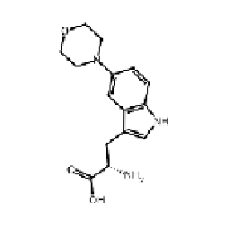 N[C@@H](Cc1c[nH]c2ccc(N3CCOCC3)cc12)C(=O)O